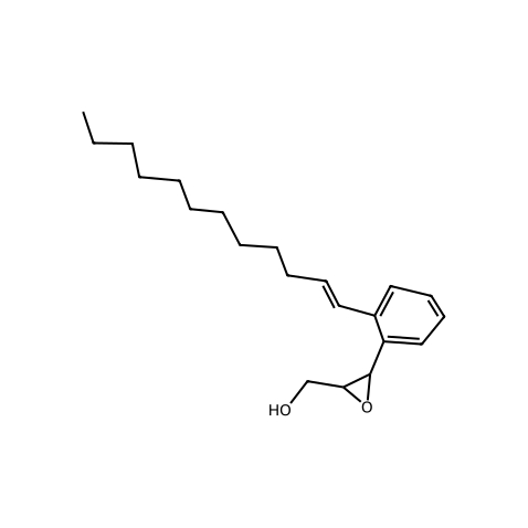 CCCCCCCCCCC=Cc1ccccc1C1OC1CO